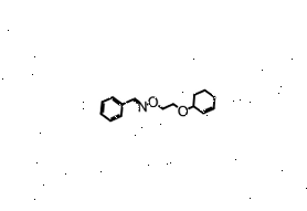 C1=CC(OCCON=Cc2ccccc2)CCC1